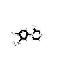 O=C1COCCN1c1ccc(F)c([N+](=O)[O-])c1